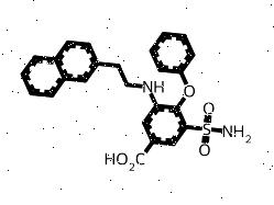 NS(=O)(=O)c1cc(C(=O)O)cc(NCCc2ccc3ccccc3c2)c1Oc1ccccc1